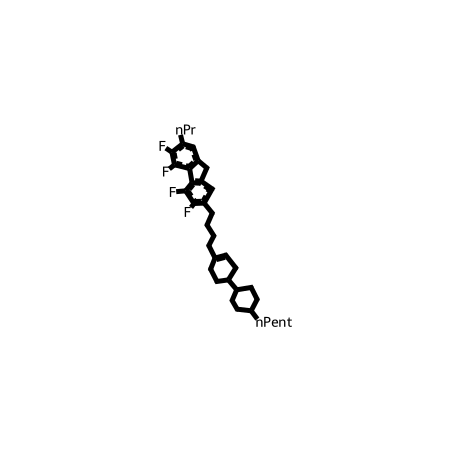 CCCCCC1CCC(C2CC=C(CCCCc3cc4c(c(F)c3F)-c3c(cc(CCC)c(F)c3F)C4)CC2)CC1